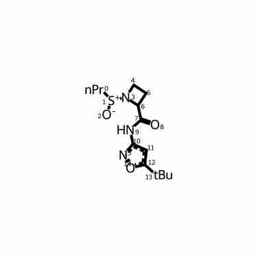 CCC[S+]([O-])N1CCC1C(=O)Nc1cc(C(C)(C)C)on1